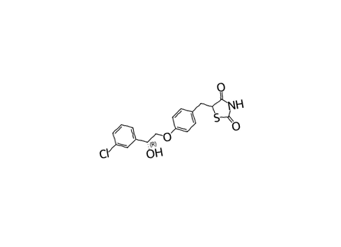 O=C1NC(=O)C(Cc2ccc(OC[C@H](O)c3cccc(Cl)c3)cc2)S1